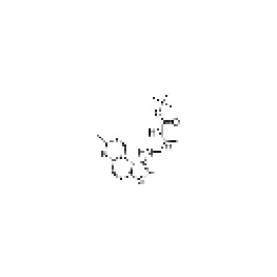 Cc1ccc2c(ccc3sc(C)c(NC[C@H](C)NC(=O)OC(C)(C)C)c32)n1